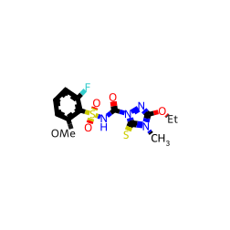 CCOc1nn(C(=O)NS(=O)(=O)c2c(F)cccc2OC)c(=S)n1C